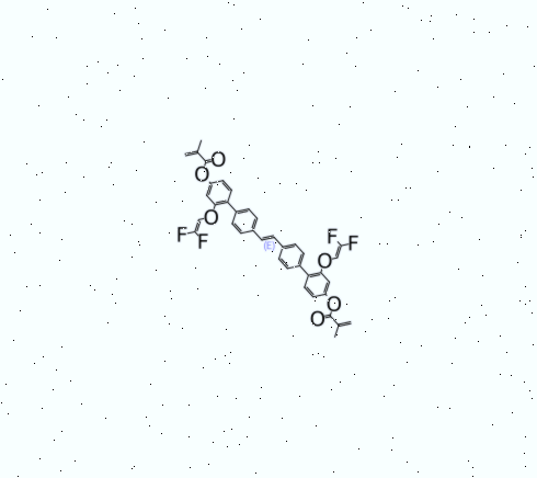 C=C(C)C(=O)Oc1ccc(-c2ccc(/C=C/c3ccc(-c4ccc(OC(=O)C(=C)C)cc4OC=C(F)F)cc3)cc2)c(OC=C(F)F)c1